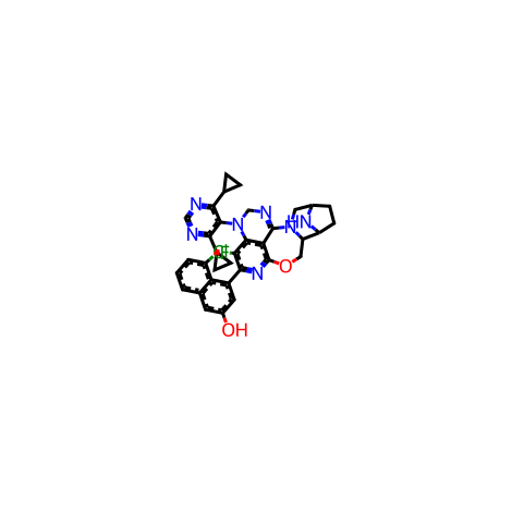 Oc1cc(-c2nc3c4c(c2F)N(c2c(C5CC5)ncnc2C2CC2)CN=C4N2CC4CCC(N4)C2CO3)c2c(Cl)cccc2c1